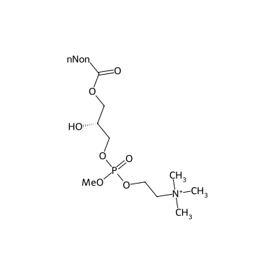 CCCCCCCCCC(=O)OC[C@@H](O)COP(=O)(OC)OCC[N+](C)(C)C